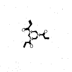 C=CC(=O)N1CN(C(=O)C=C)CN(C(=O)C=C)C1